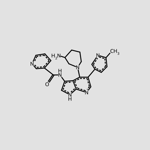 Cc1ccc(-c2cnc3[nH]cc(NC(=O)c4cccnc4)c3c2N2CCCC(N)C2)cn1